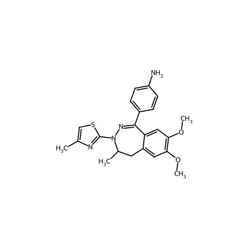 COc1cc2c(cc1OC)C(c1ccc(N)cc1)=NN(c1nc(C)cs1)C(C)C2